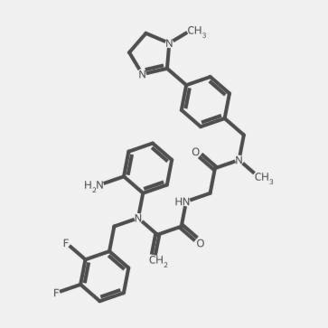 C=C(C(=O)NCC(=O)N(C)Cc1ccc(C2=NCCN2C)cc1)N(Cc1cccc(F)c1F)c1ccccc1N